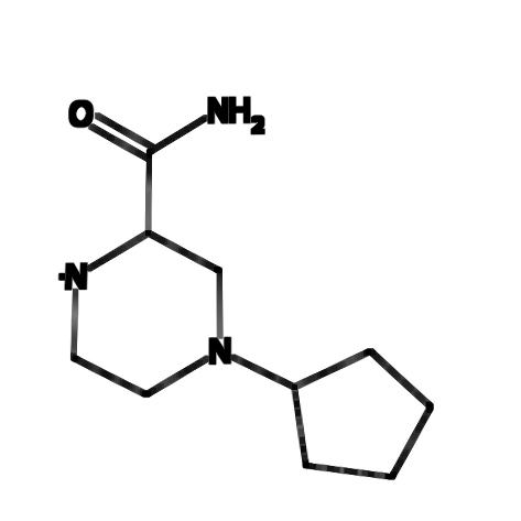 NC(=O)C1CN(C2CCCC2)CC[N]1